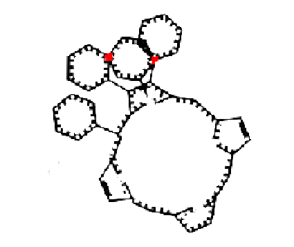 C1=Cc2cc3c(-c4ccccc4)c(-c4ccccc4)c(c(-c4ccccc4)c4nc(cc5ccc(cc1n2)[nH]5)C=C4)n3-c1ccccc1.[Au].[PbH2]